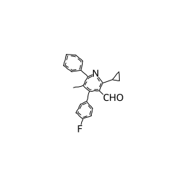 Cc1c(-c2ccccc2)nc(C2CC2)c(C=O)c1-c1ccc(F)cc1